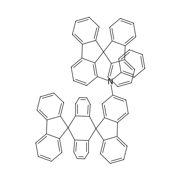 c1ccc(N(c2ccc3c(c2)C2(c4ccccc4-3)c3ccccc3C3(c4ccccc4-c4ccccc43)c3ccccc32)c2cccc3c2C2(c4ccccc4-c4ccccc42)c2ccccc2-3)cc1